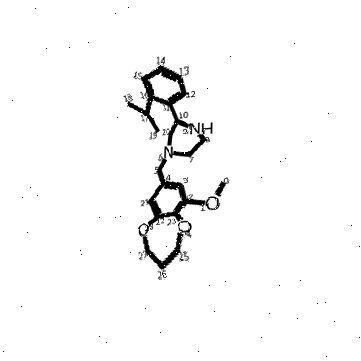 COc1cc(CN2CCNC(c3ccccc3C(C)C)C2)cc2c1OCCCO2